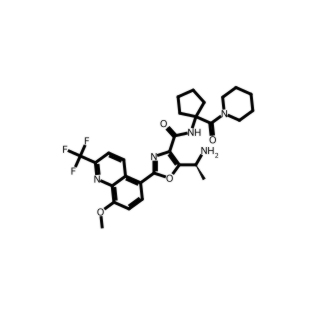 COc1ccc(-c2nc(C(=O)NC3(C(=O)N4CCCCC4)CCCC3)c([C@H](C)N)o2)c2ccc(C(F)(F)F)nc12